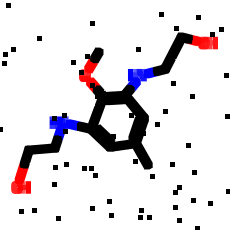 COc1c(NCCO)cc(C)cc1NCCO